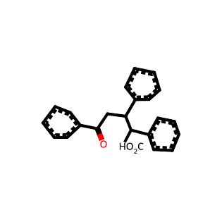 O=C(CC(c1ccccc1)C(C(=O)O)c1ccccc1)c1ccccc1